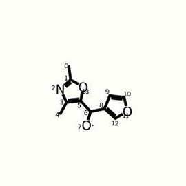 Cc1nc(C)c(C([O])c2ccoc2)o1